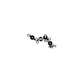 O=C(Nc1ccc2[nH]nnc2c1)c1cncc(N2CCN(C(=O)OCc3ccc(Cl)cc3)CC2)c1